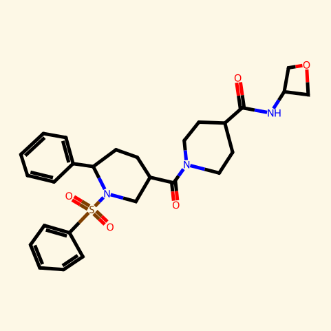 O=C(NC1COC1)C1CCN(C(=O)C2CCC(c3ccccc3)N(S(=O)(=O)c3ccccc3)C2)CC1